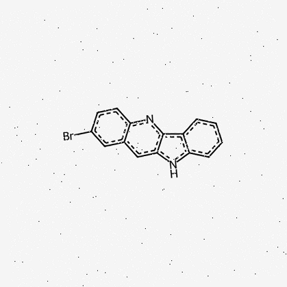 Brc1ccc2nc3c(cc2c1)[nH]c1ccccc13